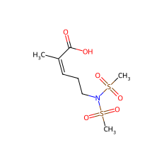 CC(=CCCN(S(C)(=O)=O)S(C)(=O)=O)C(=O)O